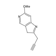 C#CCC1=Nc2cc(OC)ncc2C1